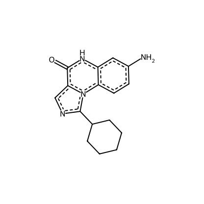 Nc1ccc2c(c1)[nH]c(=O)c1cnc(C3CCCCC3)n12